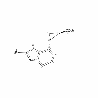 CC(C)c1nc2cccc([C@@H]3C[C@H]3C(=O)O)c2o1